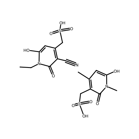 CCn1c(O)cc(CS(=O)(=O)O)c(C#N)c1=O.Cc1cc(O)n(C)c(=O)c1CS(=O)(=O)O